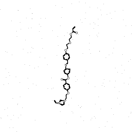 C=CC(=O)OCCOCCOc1ccc(/C=N/c2ccc(OC(=O)c3ccc(OCC[n+]4ccn(C=C)c4)cc3)cc2)cc1